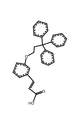 O=C(O)C=Cc1cccc(OCCC(c2ccccc2)(c2ccccc2)c2ccccc2)c1